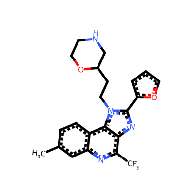 Cc1ccc2c(c1)nc(C(F)(F)F)c1nc(-c3ccco3)n(CCC3CNCCO3)c12